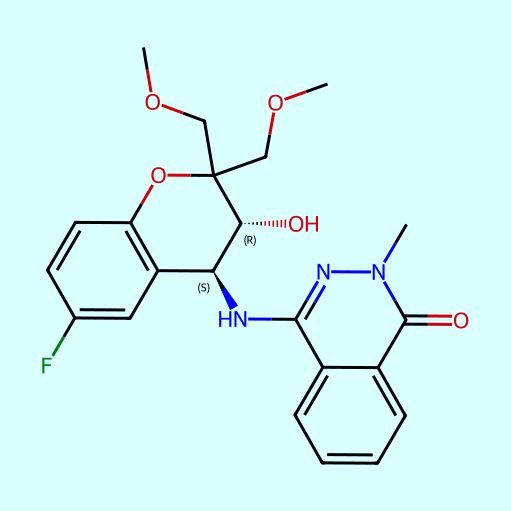 COCC1(COC)Oc2ccc(F)cc2[C@H](Nc2nn(C)c(=O)c3ccccc23)[C@H]1O